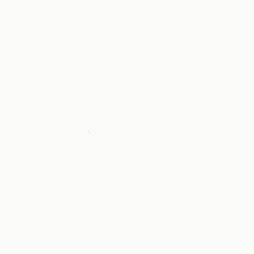 CN(C)c1ccc(C=C2Oc3ccc(C(=O)O)cc3C2=O)cc1